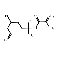 C=CCC(CC)CCC(C)(CC)OC(=O)C(=C)C